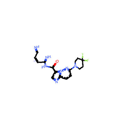 N=C/C=C\C(=N)NC(=O)c1cnc2ccc(N3CCC(F)(F)CC3)nn12